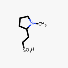 CN1CCCC1CCS(=O)(=O)O